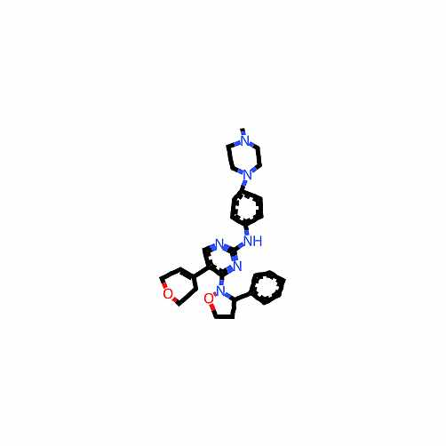 CN1CCN(c2ccc(Nc3ncc(C4=CCOCC4)c(N4OCCC4c4ccccc4)n3)cc2)CC1